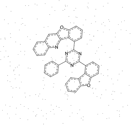 c1ccc(-c2nc(-c3cccc4oc5ccccc5c34)nc(-c3cccc4oc5cc6ccccc6nc5c34)n2)cc1